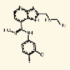 CC(C)CNCc1nc2nccc(/C(=N\O)Nc3ccc(F)c(Cl)c3)c2[nH]1